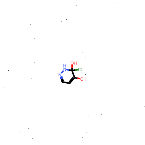 OC1=CC=NNC1(O)Cl